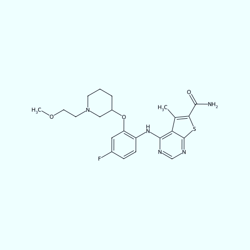 COCCN1CCCC(Oc2cc(F)ccc2Nc2ncnc3sc(C(N)=O)c(C)c23)C1